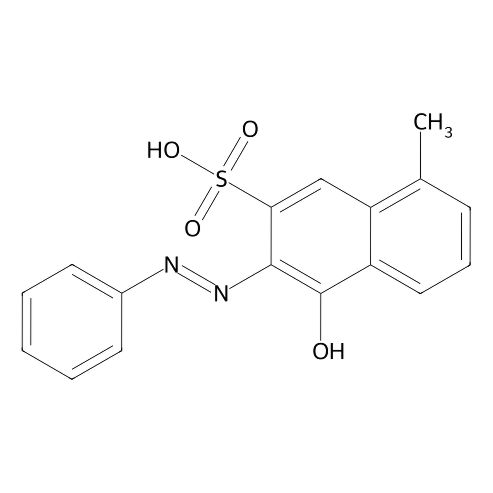 Cc1cccc2c(O)c(N=Nc3ccccc3)c(S(=O)(=O)O)cc12